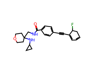 O=C(NCC1(NC2CC2)CCOCC1)c1ccc(C#CC2=CC=CCC2F)cc1